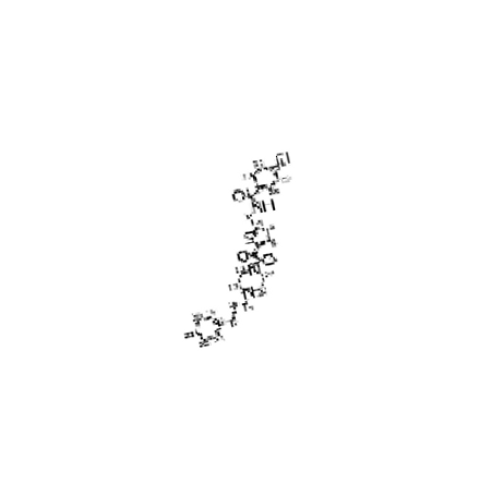 O=C(NCc1ccc(S(=O)(=O)N2CCN(CC=Cc3ccccc3)CC2)s1)c1ccc(Cl)cc1